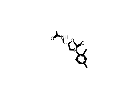 CC(=O)NC[C@H]1CN(c2ccc(C)cc2C)C(=O)O1